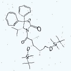 CC(C)[C@H]1N(C(=O)[C@H](C)[C@@H](O[Si](C)(C)C(C)(C)C)[C@@H](C)CO[Si](C)(C)C(C)(C)C)C(=O)OC1(c1ccccc1)c1ccccc1